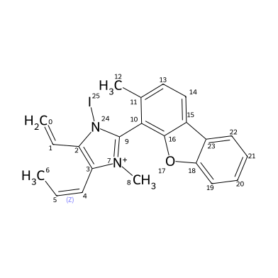 C=Cc1c(/C=C\C)[n+](C)c(-c2c(C)ccc3c2oc2ccccc23)n1I